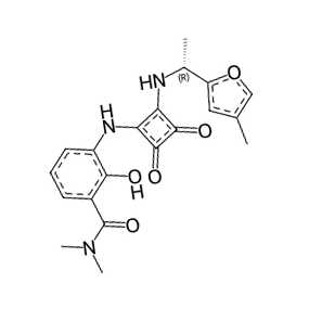 Cc1coc([C@@H](C)Nc2c(Nc3cccc(C(=O)N(C)C)c3O)c(=O)c2=O)c1